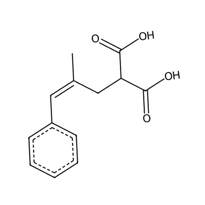 CC(=Cc1ccccc1)CC(C(=O)O)C(=O)O